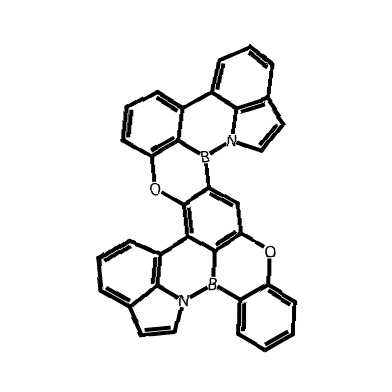 c1ccc2c(c1)Oc1cc3c(c4c1B2n1ccc2cccc-4c21)Oc1cccc2c1B3n1ccc3cccc-2c31